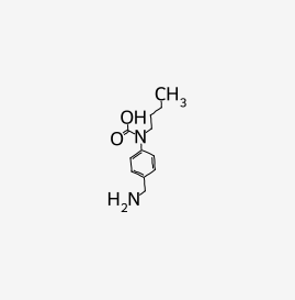 CCCCN(C(=O)O)c1ccc(CN)cc1